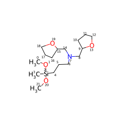 CO[Si](C)(CCCN(CC1CCCO1)CC1CCCO1)OC